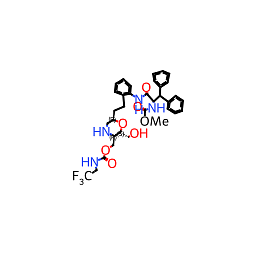 COC(=O)NC(C(=O)Nc1ccccc1CC[C@@H]1CN[C@H](COC(=O)NCC(F)(F)F)[C@@H](CO)O1)C(c1ccccc1)c1ccccc1